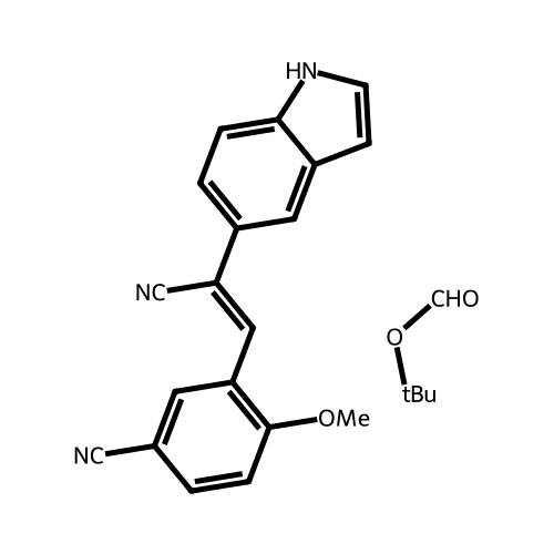 CC(C)(C)OC=O.COc1ccc(C#N)cc1C=C(C#N)c1ccc2[nH]ccc2c1